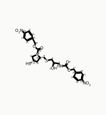 O=C(NCC(O)CSC[C@@H]1C[C@H](S)CN1C(=O)OCc1ccc([N+](=O)[O-])cc1)OCc1ccc([N+](=O)[O-])cc1